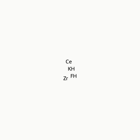 F.[Ce].[KH].[Zr]